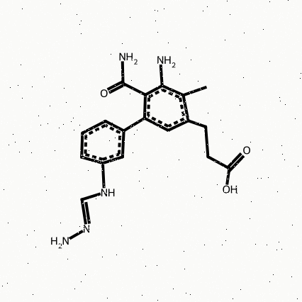 Cc1c(CCC(=O)O)cc(-c2cccc(NC=NN)c2)c(C(N)=O)c1N